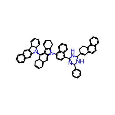 C1=CCC2C(=C1)C=c1c(c3c(n1-c1ccc(C4=NC(c5ccccc5)NC(C5=Cc6ccc7ccccc7c6CC5)N4)c4ccccc14)CCC=C3)=C2N1c2cc3ccccc3cc2C2C=CC=CC21